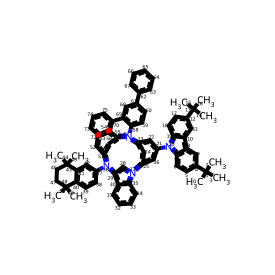 CC(C)(C)c1ccc2c(c1)c1cc(C(C)(C)C)ccc1n2-c1cc2cc(c1)n1cc(c3ccccc31)n(-c1ccc3c(c1)C(C)(C)CCC3(C)C)c1cccc(c1)n2-c1ccc(-c2ccccc2)cc1-c1ccccc1